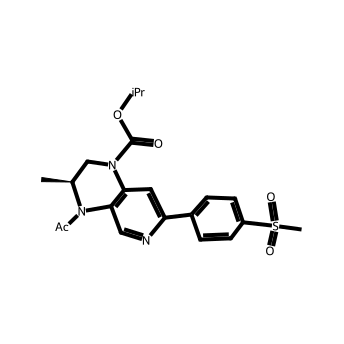 CC(=O)N1c2cnc(-c3ccc(S(C)(=O)=O)cc3)cc2N(C(=O)OC(C)C)C[C@@H]1C